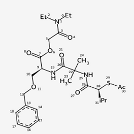 CCN(CC)C(=O)COC(=O)[C@H](COCc1ccccc1)NC(=O)C(C)(C)NC(=O)[C@@H](SC(C)=O)C(C)C